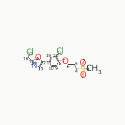 CS(=O)(=O)CCCOc1ccc(-c2cnc(CCl)o2)cc1Cl